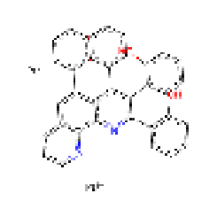 Oc1ccccc1-c1nc2c(c(-c3ccccc3)cc3cccnc32)c(-c2ccccc2)c1-c1ccccc1O.[Pt+2].[Pt+2]